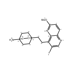 COc1ccc2ncc(F)c(CCC34CCC(N)(CC3)CC4)c2n1